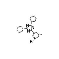 Cc1cc(Br)cc(-c2nc(-c3ccccc3)nc(-c3ccccc3)n2)c1